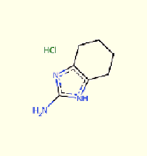 Cl.Nc1nc2c([nH]1)CCCC2